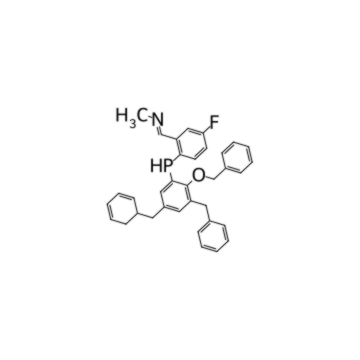 C/N=C/c1cc(F)ccc1Pc1cc(CC2C=CC=CC2)cc(Cc2ccccc2)c1OCc1ccccc1